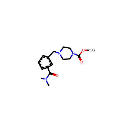 CN(C)C(=O)c1cccc(CN2CCN(C(=O)OC(C)(C)C)CC2)c1